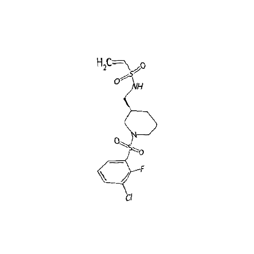 C=CS(=O)(=O)NC[C@H]1CCCN(S(=O)(=O)c2cccc(Cl)c2F)C1